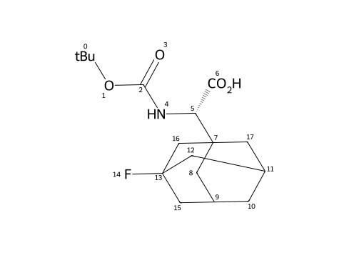 CC(C)(C)OC(=O)N[C@H](C(=O)O)C12CC3CC(CC(F)(C3)C1)C2